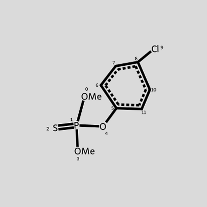 COP(=S)(OC)Oc1ccc(Cl)cc1